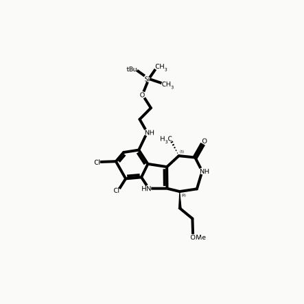 COCC[C@@H]1CNC(=O)[C@@H](C)c2c1[nH]c1c(Cl)c(Cl)cc(NCCO[Si](C)(C)C(C)(C)C)c21